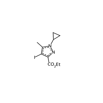 CCOC(=O)c1nn(C2CC2)c(C)c1I